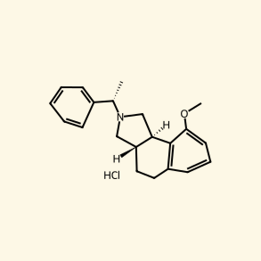 COc1cccc2c1[C@@H]1CN([C@@H](C)c3ccccc3)C[C@H]1CC2.Cl